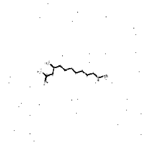 CCCCNCCCCCCCC(C)CC(C)C(C)C